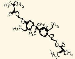 C=C(C)C(=O)OCCOc1ccc(C(C)(C)c2ccc(OCCOC(=O)C(=C)C)c(CC)c2)cc1CC